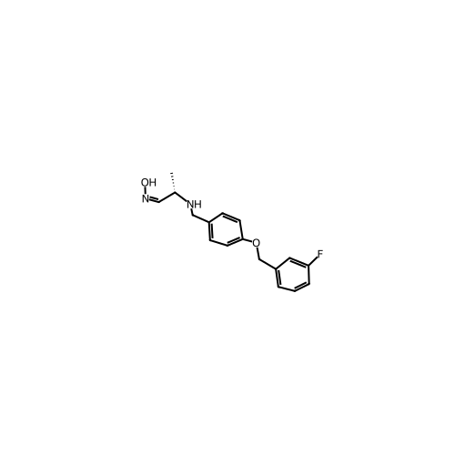 C[C@@H](/C=N\O)NCc1ccc(OCc2cccc(F)c2)cc1